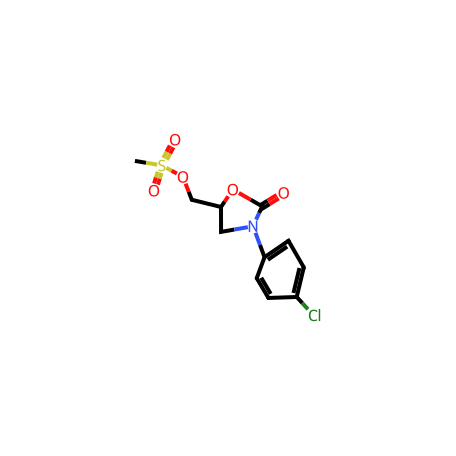 CS(=O)(=O)OCC1CN(c2ccc(Cl)cc2)C(=O)O1